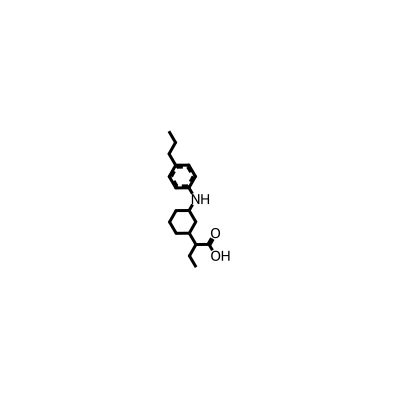 CCCc1ccc(NC2CCCC(C(CC)C(=O)O)C2)cc1